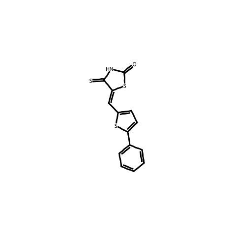 O=C1NC(=S)/C(=C/c2ccc(-c3ccccc3)s2)S1